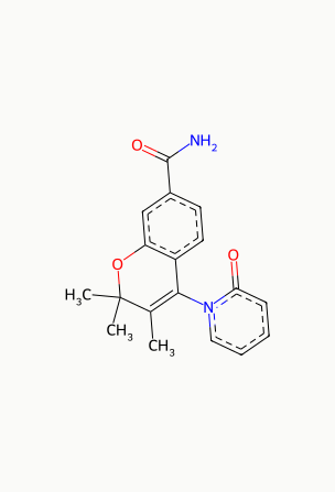 CC1=C(n2ccccc2=O)c2ccc(C(N)=O)cc2OC1(C)C